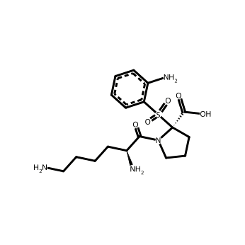 NCCCC[C@H](N)C(=O)N1CCC[C@]1(C(=O)O)S(=O)(=O)c1ccccc1N